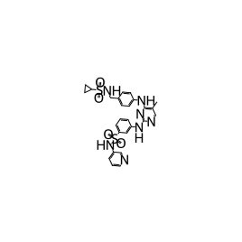 Cc1cnc(Nc2cccc(S(=O)(=O)Nc3cccnc3)c2)nc1Nc1ccc(CNS(=O)(=O)C2CC2)cc1